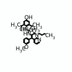 CCCCn1c(=O)c(NC(=O)Nc2c(C(C)C)cc(O)cc2C(C)C)c(-c2cccc(OC)c2)c2cccnc21